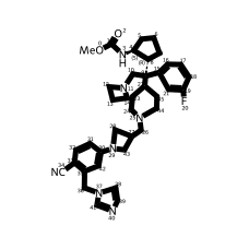 COC(=O)N[C@H]1CCC[C@@H]1C(CN1CCC1)(c1cccc(F)c1)C1CCN(CC2CN(c3ccc(C#N)c(Cn4ccnc4)c3)C2)CC1